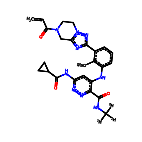 [2H]C([2H])([2H])NC(=O)c1nnc(NC(=O)C2CC2)cc1Nc1cccc(-c2nc3n(n2)CCN(C(=O)C=C)C3)c1OC